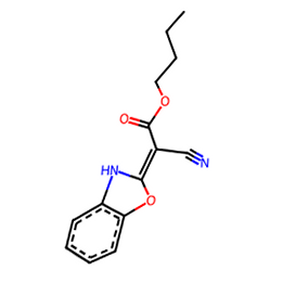 CCCCOC(=O)C(C#N)=C1Nc2ccccc2O1